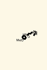 COc1ccc(NC(=O)CCCn2nnnc2C)cc1